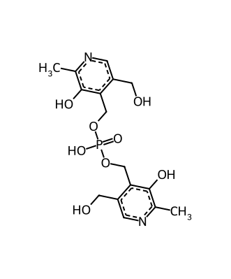 Cc1ncc(CO)c(COP(=O)(O)OCc2c(CO)cnc(C)c2O)c1O